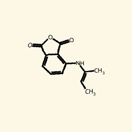 CC=C(C)Nc1cccc2c1C(=O)OC2=O